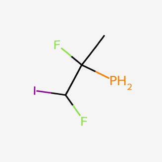 CC(F)(P)C(F)I